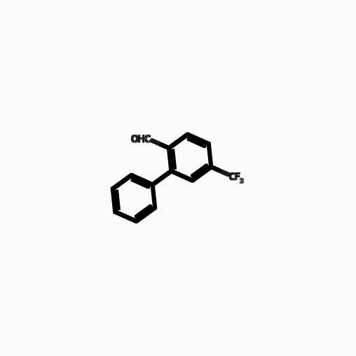 O=Cc1ccc(C(F)(F)F)cc1-c1ccccc1